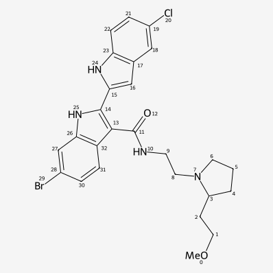 COCCC1CCCN1CCNC(=O)c1c(-c2cc3cc(Cl)ccc3[nH]2)[nH]c2cc(Br)ccc12